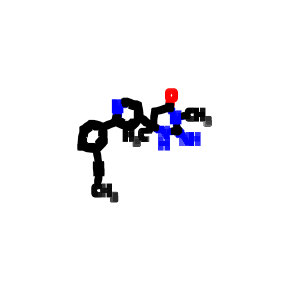 CC#Cc1cccc(-c2cc([C@]3(C)CC(=O)N(C)C(=N)N3)ccn2)c1